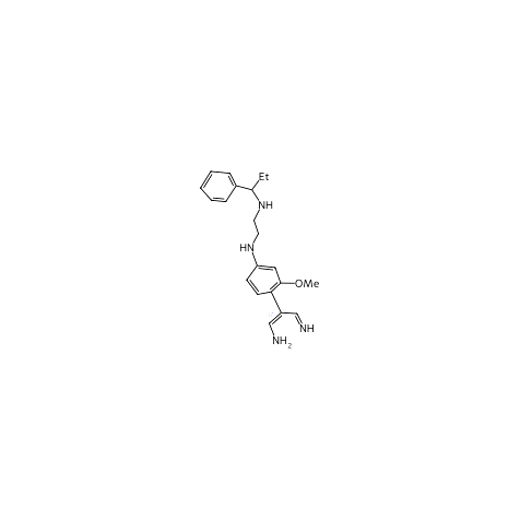 CCC(NCCNc1ccc(/C(C=N)=C/N)c(OC)c1)c1ccccc1